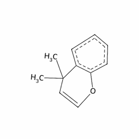 CC1(C)C=COc2ccccc21